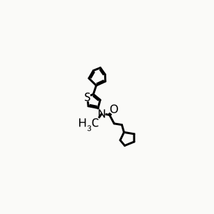 CN(C(=O)CCC1CCCC1)c1csc(-c2ccccc2)c1